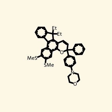 CCC1(CC)c2ccccc2-c2c1c1c(c3cc(SC)c(SC)cc23)OC(c2ccccc2)(c2ccc(N3CCOCC3)cc2)C=C1